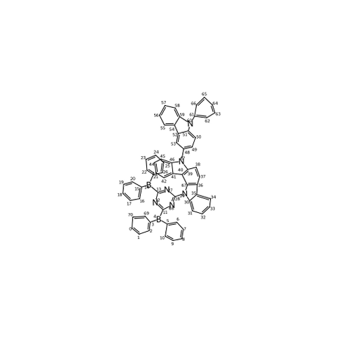 c1ccc(B(c2ccccc2)c2nc(B(c3ccccc3)c3ccccc3)nc(-n3c4ccccc4c4ccc5c(c6ccccc6n5-c5ccc6c(c5)c5ccccc5n6-c5ccccc5)c43)n2)cc1